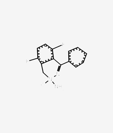 N[N+]1([O-])Cc2c(F)ccc(F)c2C(c2ccccc2)=N1